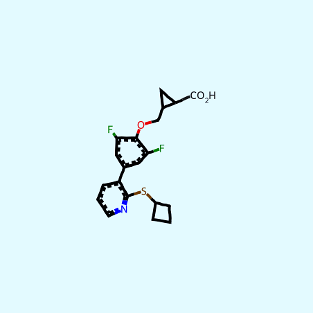 O=C(O)C1CC1COc1c(F)cc(-c2cccnc2SC2CCC2)cc1F